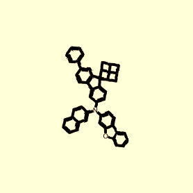 c1ccc(-c2ccc3c(c2)C2(c4ccc(N(c5ccc6ccccc6c5)c5ccc6c(c5)oc5ccccc56)cc4-3)C3CC4CC5CC2C453)cc1